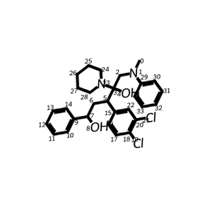 CN(CC(O)(C(CC(O)c1ccccc1)c1ccc(Cl)c(Cl)c1)N1CCCCC1)c1ccccc1